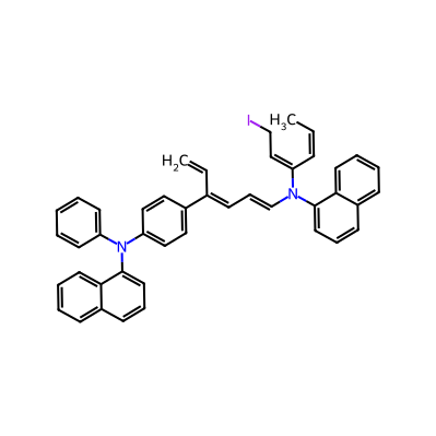 C=C/C(=C\C=C\N(C(/C=C\C)=C/CI)c1cccc2ccccc12)c1ccc(N(c2ccccc2)c2cccc3ccccc23)cc1